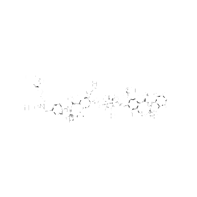 COC(=O)CCCN(C)Cc1ccc2c(c1)C[C@H]1C=Nc3cc(OCC(C)(C)C(C)(C)COc4cc5c(cc4OC)C(=O)N4c6ccccc6C[C@H]4CN5)c(OC)cc3C(=O)N21